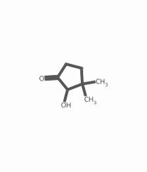 CC1(C)[CH]CC(=O)C1O